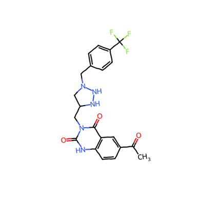 CC(=O)c1ccc2[nH]c(=O)n(CC3CN(Cc4ccc(C(F)(F)F)cc4)NN3)c(=O)c2c1